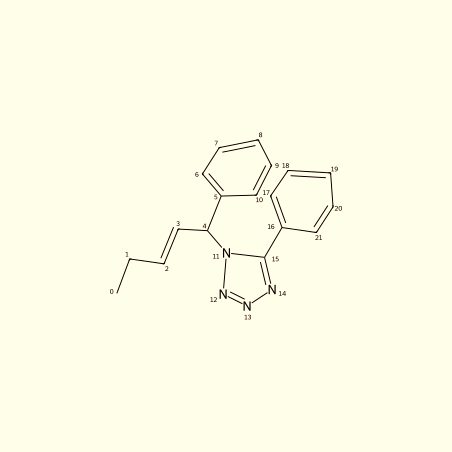 CCC=CC(c1ccccc1)n1nnnc1-c1ccccc1